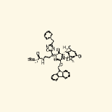 Cc1cc(O)cc(C)c1C[C@H](NC(=O)OCC1c2ccccc2-c2ccccc21)C(=O)N[C@@H](CCNC(=O)OC(C)(C)C)c1nc(Cc2ccccc2)no1